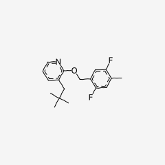 Cc1cc(F)c(COc2ncccc2CC(C)(C)C)cc1F